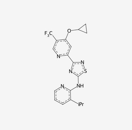 CC(C)c1cccnc1Nc1nc(-c2cc(OC3CC3)c(C(F)(F)F)cn2)ns1